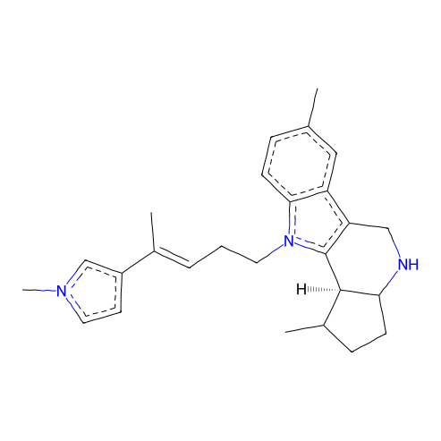 C/C(=C\CCn1c2c(c3cc(C)ccc31)CNC1CCC(C)[C@@H]21)c1ccn(C)c1